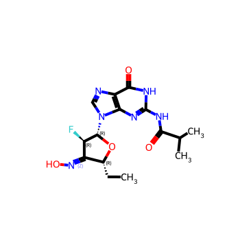 CC[C@H]1O[C@@H](n2cnc3c(=O)[nH]c(NC(=O)C(C)C)nc32)[C@H](F)/C1=N\O